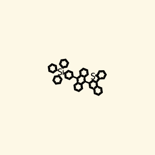 c1ccc([Si](c2ccccc2)(c2ccccc2)c2ccc(-c3c4ccccc4c(-c4cc5ccccc5c5c4sc4ccccc45)c4ccccc34)cc2)cc1